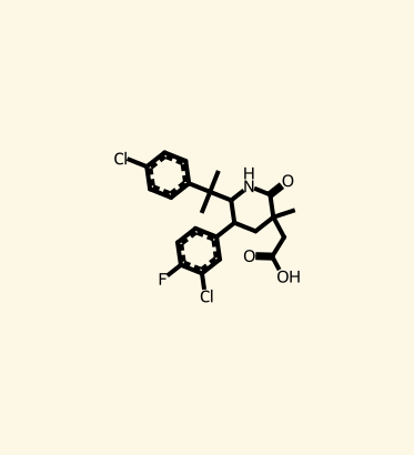 CC1(CC(=O)O)CC(c2ccc(F)c(Cl)c2)C(C(C)(C)c2ccc(Cl)cc2)NC1=O